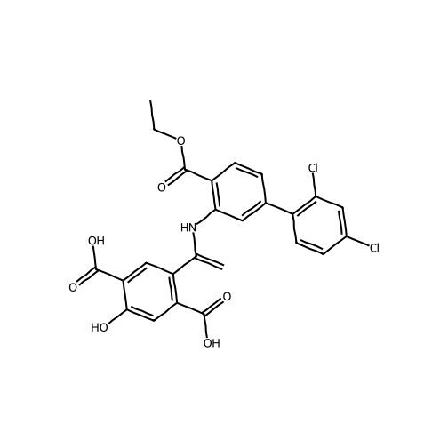 C=C(Nc1cc(-c2ccc(Cl)cc2Cl)ccc1C(=O)OCC)c1cc(C(=O)O)c(O)cc1C(=O)O